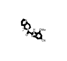 COc1cc(C#N)cc2nc(C(=O)N3CCc4ncccc4[C@H]3C)[nH]c12